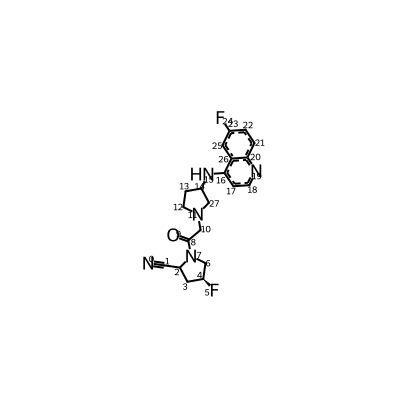 N#CC1C[C@H](F)CN1C(=O)CN1CC[C@@H](Nc2ccnc3ccc(F)cc23)C1